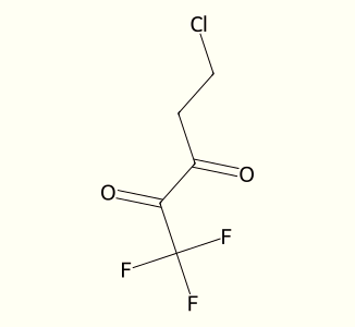 O=C(CCCl)C(=O)C(F)(F)F